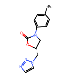 CC(C)(C)c1ccc(N2C[C@H](Cn3ccnn3)OC2=O)cc1